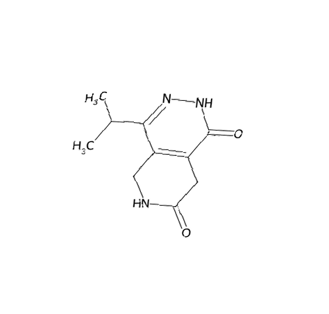 CC(C)c1n[nH]c(=O)c2c1CNC(=O)C2